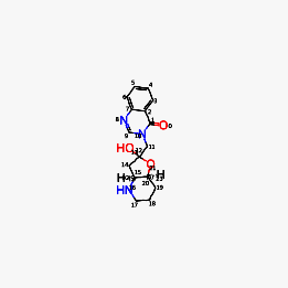 O=c1c2ccccc2ncn1CC1(O)C[C@@H]2NCCC[C@@H]2O1